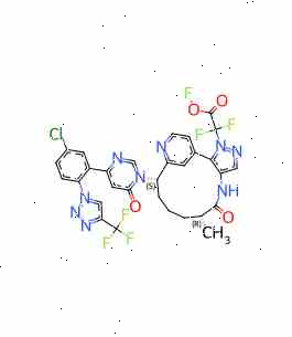 C[C@@H]1CCC[C@H](n2cnc(-c3cc(Cl)ccc3-n3cc(C(F)(F)F)nn3)cc2=O)c2cc(ccn2)-c2c(cnn2C(F)(F)C(=O)OF)NC1=O